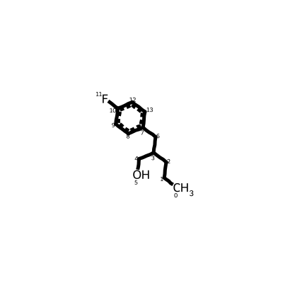 CCCC(CO)Cc1ccc(F)cc1